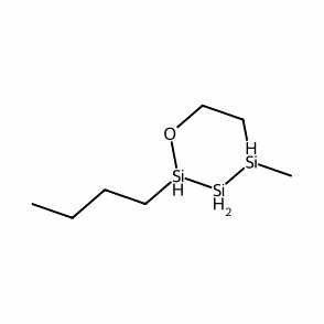 CCCC[SiH]1OCC[SiH](C)[SiH2]1